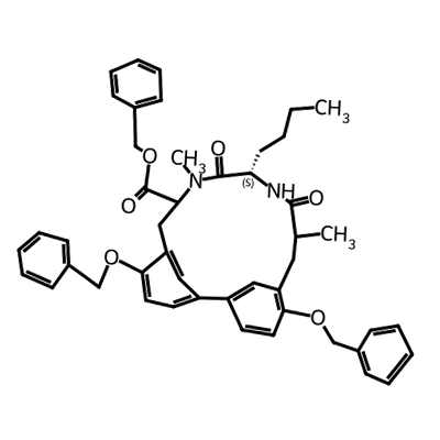 CCCC[C@@H]1NC(=O)C(C)Cc2cc(ccc2OCc2ccccc2)-c2ccc(OCc3ccccc3)c(c2)CC(C(=O)OCc2ccccc2)N(C)C1=O